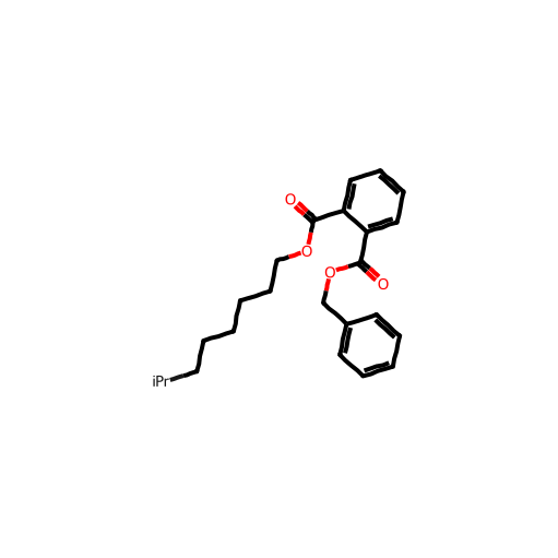 CC(C)CCCCCCOC(=O)c1ccccc1C(=O)OCc1ccccc1